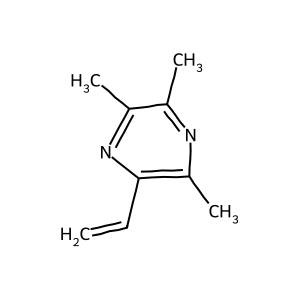 C=Cc1nc(C)c(C)nc1C